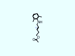 CC(=O)OCC/C=C/CNc1c(C)cccc1C